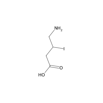 NCC(I)CC(=O)O